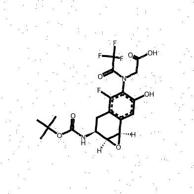 CC(C)(C)OC(=O)N[C@H]1Cc2c(cc(O)c(N(CC(=O)O)C(=O)C(F)(F)F)c2F)[C@H]2O[C@@H]12